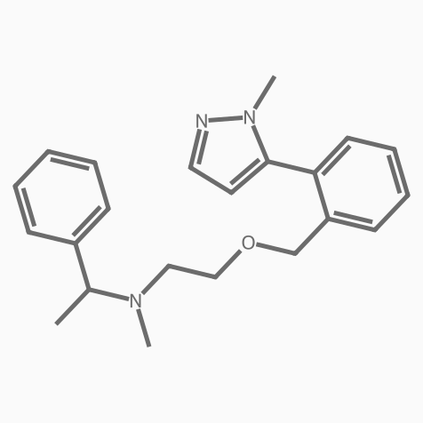 CC(c1ccccc1)N(C)CCOCc1ccccc1-c1ccnn1C